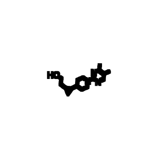 Cc1cnc(N2CCC(C3CC3CCO)CC2)nc1C